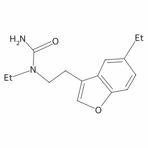 CCc1ccc2occ(CCN(CC)C(N)=O)c2c1